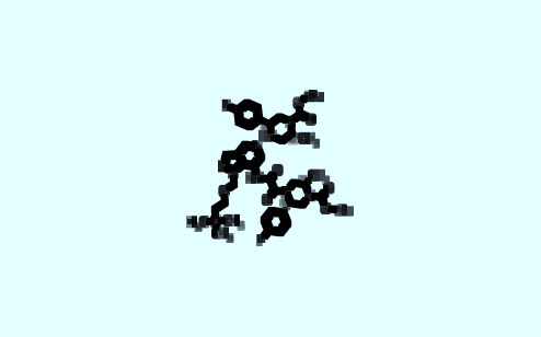 C[C@@H]1CN(C(=O)C(=O)Nc2cncc3cnn(COCC[Si](C)(C)C)c23)[C@@H](c2ccc(F)cc2)CN1C(=O)OC(C)(C)C.C[C@@H]1CN[C@@H](c2ccc(F)cc2)CN1C(=O)OC(C)(C)C